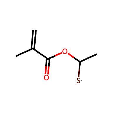 C=C(C)C(=O)OC(C)[S]